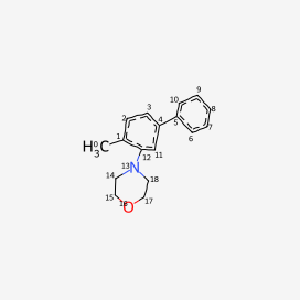 Cc1ccc(-c2ccccc2)cc1N1CCOCC1